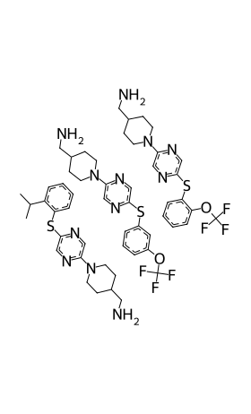 CC(C)c1ccccc1Sc1cnc(N2CCC(CN)CC2)cn1.NCC1CCN(c2cnc(Sc3cccc(OC(F)(F)F)c3)cn2)CC1.NCC1CCN(c2cnc(Sc3ccccc3OC(F)(F)F)cn2)CC1